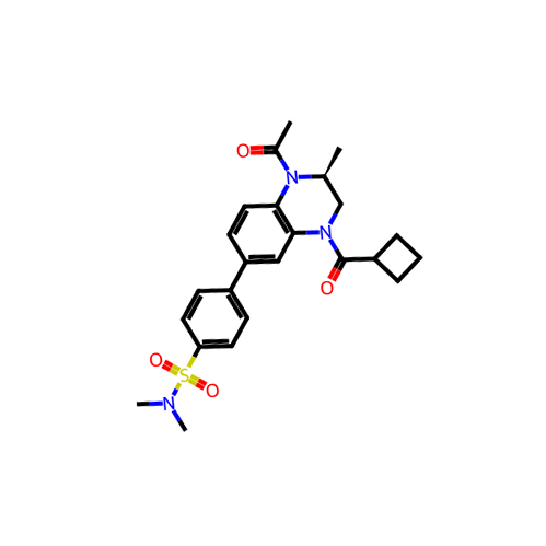 CC(=O)N1c2ccc(-c3ccc(S(=O)(=O)N(C)C)cc3)cc2N(C(=O)C2CCC2)C[C@@H]1C